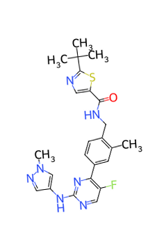 Cc1cc(-c2nc(Nc3cnn(C)c3)ncc2F)ccc1CNC(=O)c1cnc(C(C)(C)C)s1